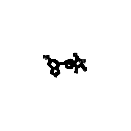 O=C1NC(=O)C2(N1)C1CCC2CN(c2cc(C(F)(F)F)cc3cncn23)C1